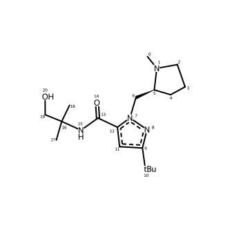 CN1CCC[C@H]1Cn1nc(C(C)(C)C)cc1C(=O)NC(C)(C)CO